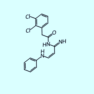 N=C(/C=C\Nc1ccccc1)NC(=O)Cc1cccc(Cl)c1Cl